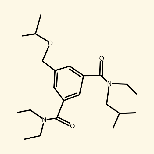 CCN(CC)C(=O)c1cc(COC(C)C)cc(C(=O)N(CC)CC(C)C)c1